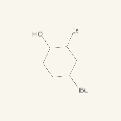 CCC(C)C1CCC(O)C(CC)C1